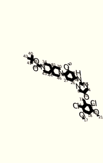 COc1cc(Nc2ncc(OCc3c(Cl)c(OC)cc(OC)c3Cl)cn2)ccc1N1CCC2(CCN(C(=O)OC(C)(C)C)CC2)CC1